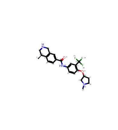 C[C@H]1CNCc2cc(C(=O)Nc3ccc(OC4CCN(C)C4)c(C(F)(F)F)c3)ccc21